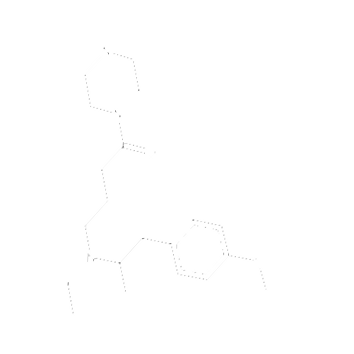 CCN(CCCC(=O)N1CCNCC1)C(C)Cc1ccc(SC)cc1